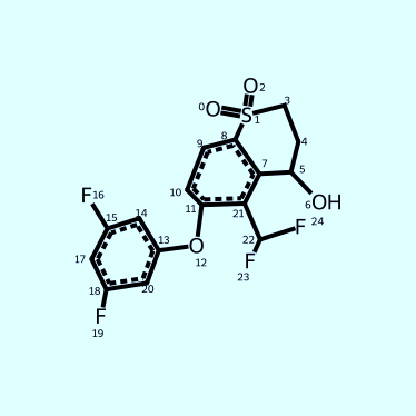 O=S1(=O)CCC(O)c2c1ccc(Oc1cc(F)cc(F)c1)c2C(F)F